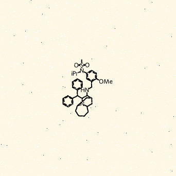 COc1ccc(N(C(C)C)S(C)(=O)=O)cc1CNC1C2CC3CCCCC(C2)N3C1C(c1ccccc1)c1ccccc1